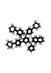 c1ccc(N(c2cc3c4c(c2)N(c2ccc(C5CCCCC5)cc2)c2ccc(C5CCCCC5)cc2B4c2cc(C4CCCCC4)ccc2-3)c2ccc3ccccc3c2)cc1